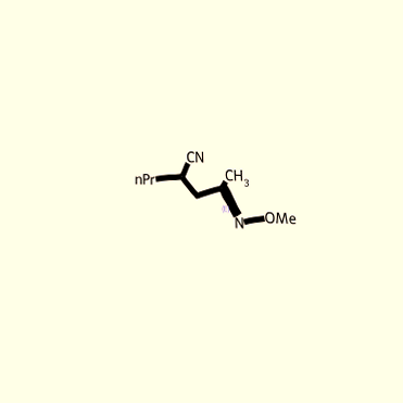 CCCC(C#N)C/C(C)=N/OC